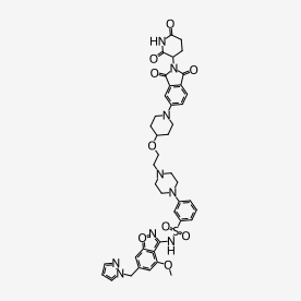 COc1cc(Cn2cccn2)cc2onc(NS(=O)(=O)c3cccc(N4CCN(CCOC5CCN(c6ccc7c(c6)C(=O)N(C6CCC(=O)NC6=O)C7=O)CC5)CC4)c3)c12